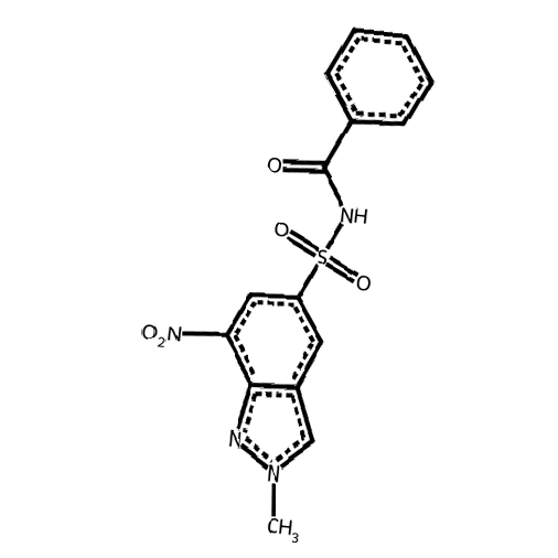 Cn1cc2cc(S(=O)(=O)NC(=O)c3ccccc3)cc([N+](=O)[O-])c2n1